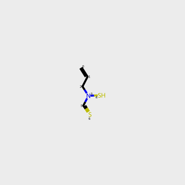 C=CCN(S)[C]=S